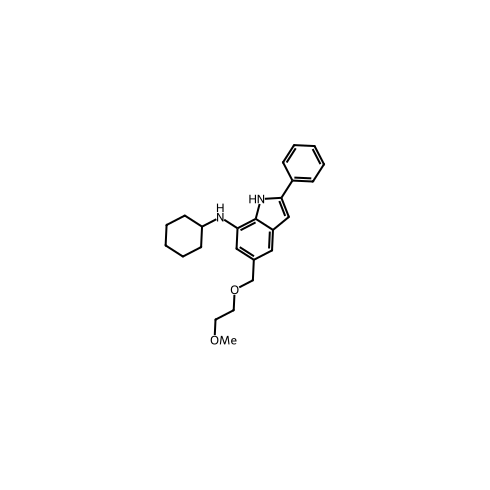 COCCOCc1cc(NC2CCCCC2)c2[nH]c(-c3ccccc3)cc2c1